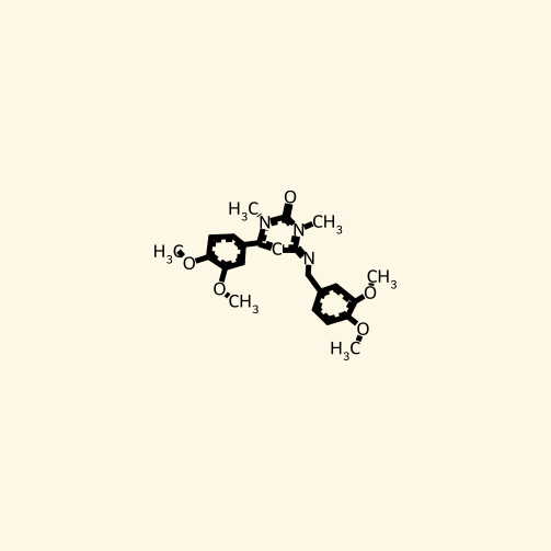 COc1ccc(C/N=c2\cc(-c3ccc(OC)c(OC)c3)n(C)c(=O)n2C)cc1OC